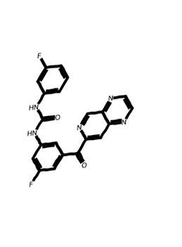 O=C(Nc1cccc(F)c1)Nc1cc(F)cc(C(=O)c2cc3nccnc3cn2)c1